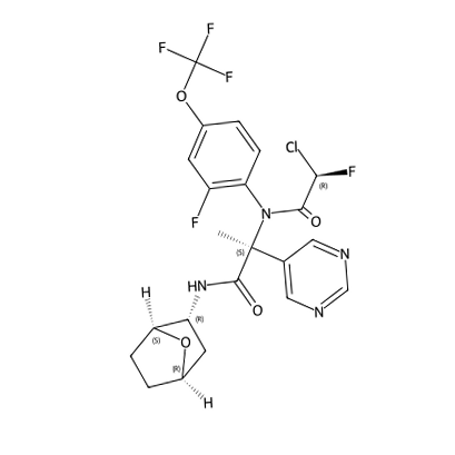 C[C@@](C(=O)N[C@@H]1C[C@H]2CC[C@@H]1O2)(c1cncnc1)N(C(=O)[C@H](F)Cl)c1ccc(OC(F)(F)F)cc1F